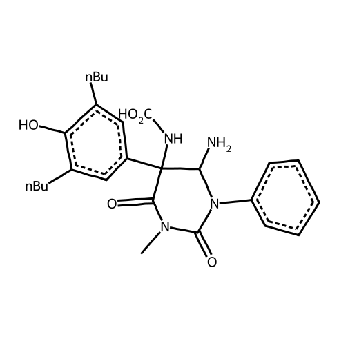 CCCCc1cc(C2(NC(=O)O)C(=O)N(C)C(=O)N(c3ccccc3)C2N)cc(CCCC)c1O